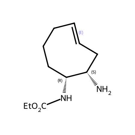 CCOC(=O)N[C@@H]1CCC/C=C/C[C@@H]1N